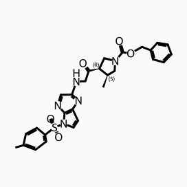 Cc1ccc(S(=O)(=O)n2ccc3nc(NCC(=O)[C@H]4CN(C(=O)OCc5ccccc5)C[C@H]4C)cnc32)cc1